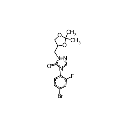 CC1(C)OCC(Cn2ncn(-c3ccc(Br)cc3F)c2=O)O1